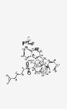 CC(C)CC=CCS(=O)(=O)C1=CC=C(c2ccccc2)CC1(Cl)c1c(Cc2ccccc2)cnc2c(C(F)(F)F)cccc12